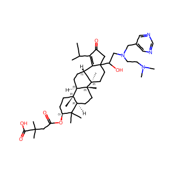 CC(C)C1=C2[C@H]3CC[C@@H]4[C@@]5(C)CC[C@H](OC(=O)CC(C)(C)C(=O)O)C(C)(C)[C@@H]5CC[C@@]4(C)[C@]3(C)CCC2(C(O)CN(CCN(C)C)Cc2cncnc2)CC1=O